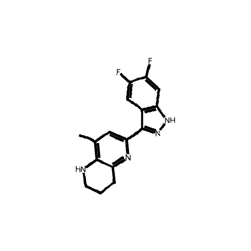 Cc1cc(-c2n[nH]c3cc(F)c(F)cc23)nc2c1NCCC2